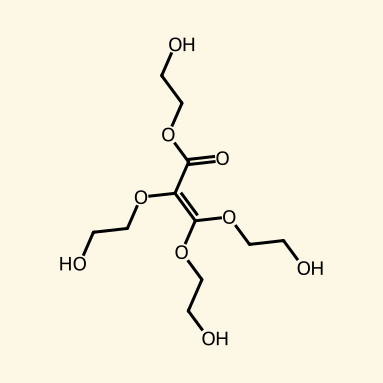 O=C(OCCO)C(OCCO)=C(OCCO)OCCO